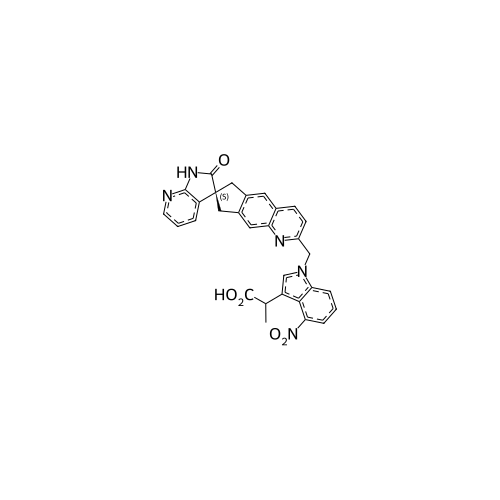 CC(C(=O)O)c1cn(Cc2ccc3cc4c(cc3n2)C[C@]2(C4)C(=O)Nc3ncccc32)c2cccc([N+](=O)[O-])c12